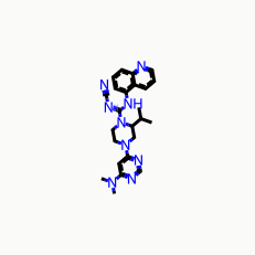 CC(C)C1CN(c2cc(N(C)C)ncn2)CCN1/C(=N/C#N)Nc1cccc2ncccc12